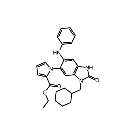 CCOC(=O)c1cccn1-c1cc2c(cc1Nc1ccccc1)[nH]c(=O)n2CC1CCCCC1